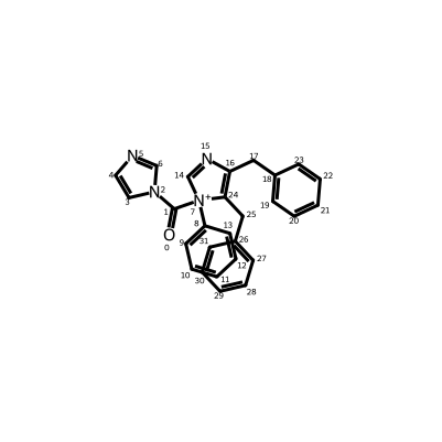 O=C(n1ccnc1)[N+]1(c2ccccc2)C=NC(Cc2ccccc2)=C1Cc1ccccc1